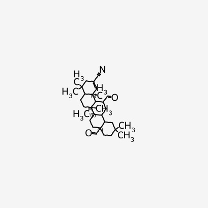 CC1(C)CC[C@]2(C=O)CC[C@]3(C)C(CC(C=O)C4[C@@]5(C)C=C(C#N)CC(C)(C)C5CC[C@]43C)C2C1